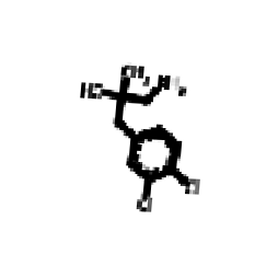 CC(O)(CN)Cc1ccc(Cl)c(Cl)c1